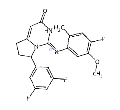 COc1cc(/N=c2\[nH]c(=O)cc3n2C(c2cc(F)cc(F)c2)CC3)c(C)cc1F